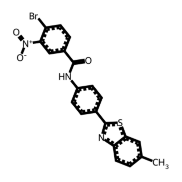 Cc1ccc2nc(-c3ccc(NC(=O)c4ccc(Br)c([N+](=O)[O-])c4)cc3)sc2c1